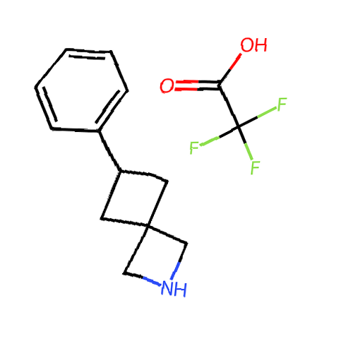 O=C(O)C(F)(F)F.c1ccc(C2CC3(CNC3)C2)cc1